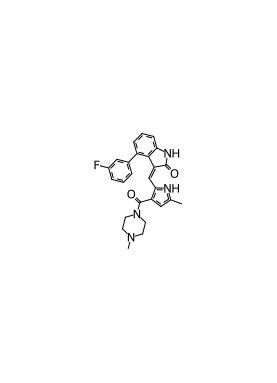 Cc1cc(C(=O)N2CCN(C)CC2)c(/C=C2\C(=O)Nc3cccc(-c4cccc(F)c4)c32)[nH]1